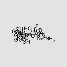 C[C@@H](OP(=O)(O)OP(=O)(O)OP(=O)(O)O)[C@H]1O[C@@H](n2ncc(N)nc2=O)[C@@](Cl)(CF)C1O